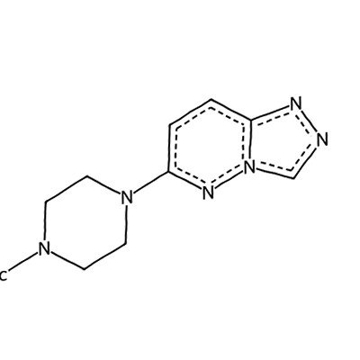 CC(=O)N1CCN(c2ccc3nncn3n2)CC1